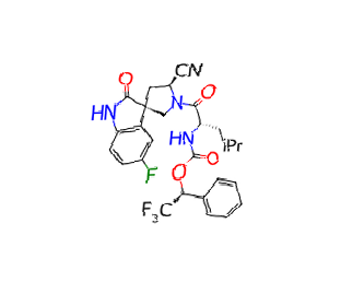 CC(C)C[C@H](NC(=O)O[C@@H](c1ccccc1)C(F)(F)F)C(=O)N1C[C@]2(C[C@H]1C#N)C(=O)Nc1ccc(F)cc12